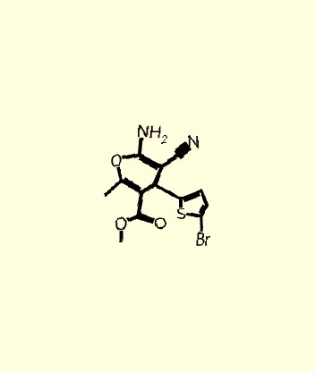 COC(=O)C1=C(C)OC(N)=C(C#N)C1c1ccc(Br)s1